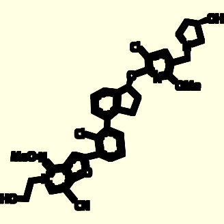 CO/N=c1/c2cc(-c3cccc(-c4cccc5c4CC[C@@H]5Oc4nc(OC)c(CN5CC[C@@H](O)C5)cc4Cl)c3Cl)oc2c(C#N)cn1CCO